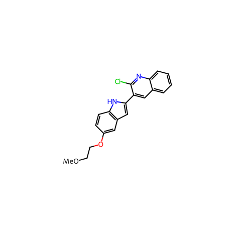 COCCOc1ccc2[nH]c(-c3cc4ccccc4nc3Cl)cc2c1